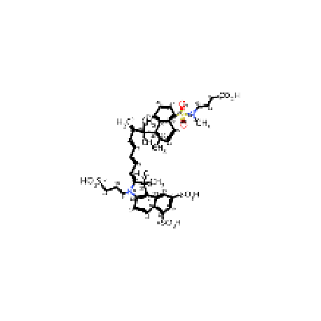 C=C(/C=C/C=C/C=C1/N(CCCS(=O)(=O)O)c2ccc3c(S(=O)(=O)O)cc(S(=O)(=O)O)cc3c2C1(C)C)C(C)(C)c1c(C)ccc2c(S(=O)(=O)N(C)CCCC(=O)O)cccc12